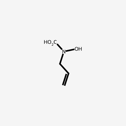 C=CCN(O)C(=O)O